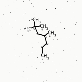 CC[CH]C(C)CC(C)(C)C